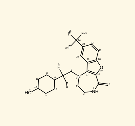 C=C1NCCN(CC(F)(F)C2CCC(O)CC2)c2c1oc1ccc(C(F)(F)F)cc21